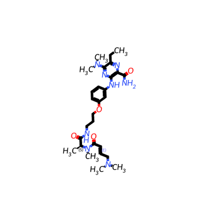 CCc1nc(C(N)=O)c(Nc2cccc(OCCCNC(=O)[C@H](C)N(C)C(=O)/C=C/CN(C)C)c2)nc1N(C)C